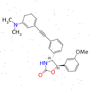 COc1cccc([C@H]2OC(=O)N[C@@H]2c2cccc(C#CC3=CCCC(N(C)C)=C3)c2)c1